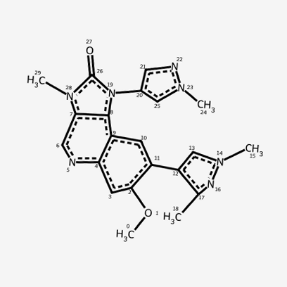 COc1cc2ncc3c(c2cc1-c1cn(C)nc1C)n(-c1cnn(C)c1)c(=O)n3C